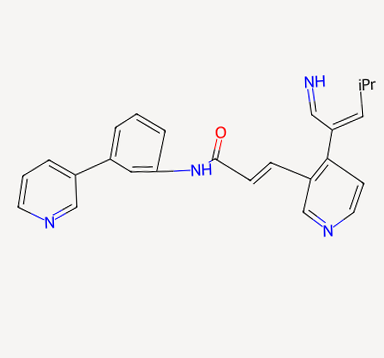 CC(C)/C=C(\C=N)c1ccncc1/C=C/C(=O)Nc1cccc(-c2cccnc2)c1